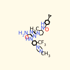 C[C@@H]1[C@H](NC(=O)c2ccc(C3CC3)cc2)CCCN1c1cnc(C(N)=O)c(Nc2ccc(N3CCN(C)CC3)c(C(F)(F)F)c2)n1